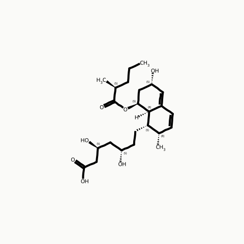 CCC[C@H](C)C(=O)O[C@H]1C[C@H](O)C=C2C=C[C@H](C)[C@H](CC[C@H](O)C[C@H](O)CC(=O)O)[C@H]21